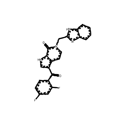 O=C(c1ccc(F)cc1F)c1c[nH]c2c(=O)n(Cc3nc4ccccc4[nH]3)ccc12